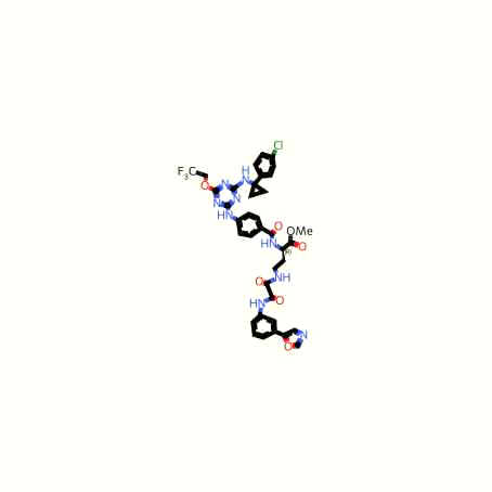 COC(=O)[C@@H](CCNC(=O)C(=O)Nc1cccc(-c2cnco2)c1)NC(=O)c1ccc(Nc2nc(NC3(c4ccc(Cl)cc4)CC3)nc(OCC(F)(F)F)n2)cc1